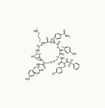 CNCCCC[C@@H]1NC(=O)[C@@H](Cc2ccc(C(N)=O)cc2)NC(=O)[C@H](Cc2ccc(O)cc2)NC(=O)[C@H](NC(=O)[C@H](Cc2ccc(Cl)cc2)NS(=O)(=O)c2ccccc2)CSSC[C@@H](C(=O)N[C@H](Cc2ccc(O)cc2)C(N)=O)NC(=O)[C@H]([C@@H](C)O)NC1=O